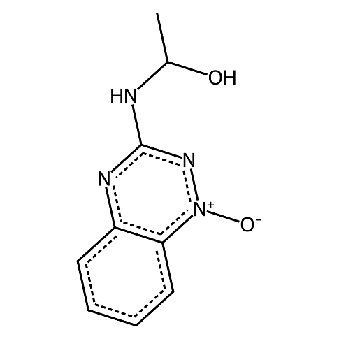 CC(O)Nc1nc2ccccc2[n+]([O-])n1